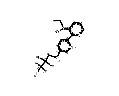 CC[S+]([O-])c1cccnc1-c1ccc(OCC(F)(F)C(F)(F)F)cn1